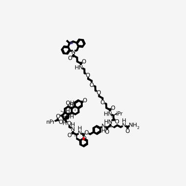 CCCC1O[C@@H]2C[C@H]3[C@@H]4CCC5=CC(=O)C=C[C@]5(C)[C@H]4[C@@H](O)C[C@]3(C)[C@]2(C(=O)COCNC(=O)[C@H](Cc2ccccc2)NC(=O)OCc2ccc(NC(=O)[C@H](CCCNC(N)=O)NC(=O)[C@@H](NC(=O)CCOCCOCCOCCOCCNC(=O)CCC(=O)N3Cc4ccccc4/C=C(/C)c4ccccc43)C(C)C)cc2)O1